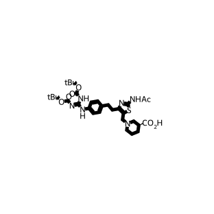 CC(=O)Nc1nc(CCc2ccc(N/C(=N/C(=O)OC(C)(C)C)NC(=O)OC(C)(C)C)cc2)c(CN2CCC[C@@H](C(=O)O)C2)s1